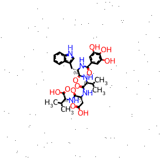 CC(C)[C@H](NC(=O)[C@H](CC(=O)O)NC(=O)[C@@H](NC(=O)[C@H](Cc1c[nH]c2ccccc12)NC(=O)c1cc(O)c(O)c(O)c1)C(C)C)C(=O)O